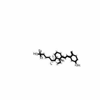 C=C1CCC(O)CC1=CC=C1CCC[C@]2(C)[C@@H]([C@H](C)CCCC(O)(CC)CC)CC[C@@H]12